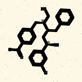 O=[N+]([O-])c1ccc(C[C@@H](CO)N(Cc2ccccc2)C[C@@H](O)c2cccc(Cl)c2)cc1